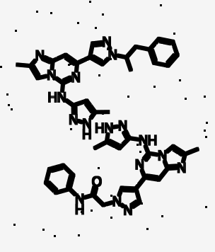 Cc1cn2c(Nc3cc(C)[nH]n3)nc(-c3cnn(C(C)Cc4ccccc4)c3)cc2n1.Cc1cn2c(Nc3cc(C)[nH]n3)nc(-c3cnn(CC(=O)Nc4ccccc4)c3)cc2n1